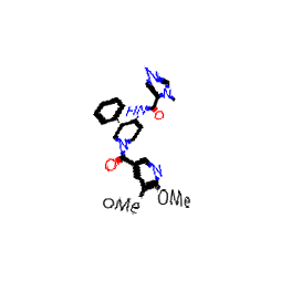 COc1cc(C(=O)N2CC[C@@H](NC(=O)c3cncn3C)[C@@H](c3ccccc3)C2)cnc1OC